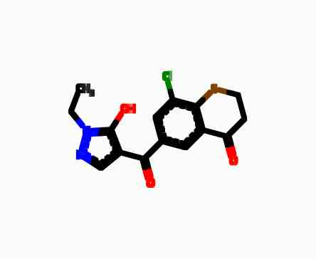 CCn1ncc(C(=O)c2cc(Cl)c3c(c2)C(=O)CCS3)c1O